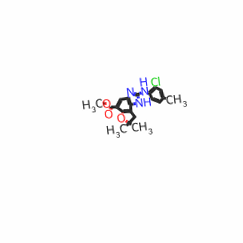 COC(=O)c1cc2nc(Nc3ccc(C)cc3Cl)[nH]c2c2c1OC(C)(C)C2